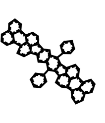 c1ccc(-c2c3cc4c(cc3c(-c3ccccc3)c3c5ccc6c7cccc8cccc(c9ccc(c23)c5c96)c87)c2ccc3c5cccc6cccc(c7ccc4c2c73)c65)cc1